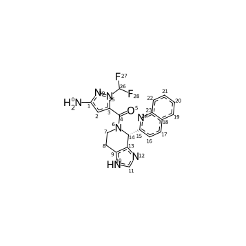 Nc1cc(C(=O)N2CCc3[nH]cnc3[C@H]2c2ccc3ccccc3n2)n(C(F)F)n1